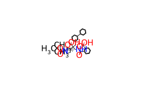 CC(C)(C)OC(=O)N1CC[C@H](C(CNC(=O)c2ccccc2C(=O)O)(Cc2cccc(-c3ccccc3)c2)C(=O)O)C1